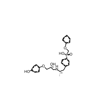 C[C@@H](Cc1ccc(P(=O)(O)COc2ccccc2)cc1)NC[C@@H](O)COc1ccc(O)cc1